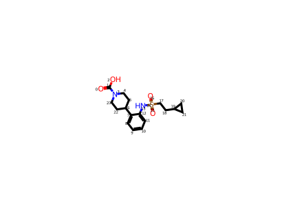 O=C(O)N1CCC(c2ccccc2NS(=O)(=O)CCC2CC2)CC1